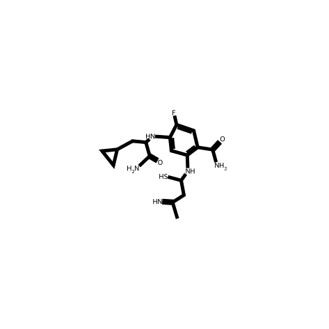 CC(=N)CC(S)Nc1cc(NC(CC2CC2)C(N)=O)c(F)cc1C(N)=O